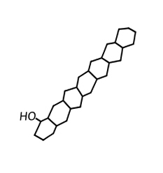 OC1CCCC2CC3CC4CC5CC6CC7CCCCC7CC6CC5CC4CC3CC12